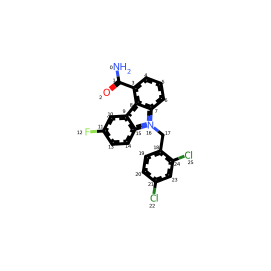 NC(=O)c1cccc2c1c1[c]c(F)ccc1n2Cc1ccc(Cl)cc1Cl